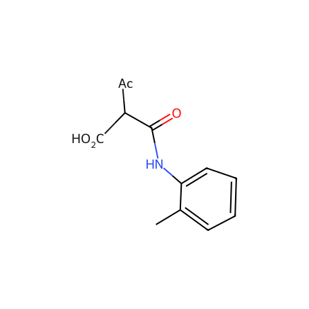 CC(=O)C(C(=O)O)C(=O)Nc1ccccc1C